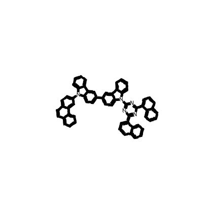 c1ccc2c(-c3nc(-c4cccc5ccccc45)nc(-n4c5ccccc5c5cc(-c6ccc7c(c6)c6ccccc6n7-c6ccc7ccc8ccccc8c7c6)ccc54)n3)cccc2c1